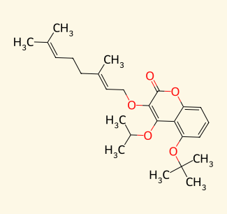 CC(C)=CCC/C(C)=C/COc1c(OC(C)C)c2c(OC(C)(C)C)cccc2oc1=O